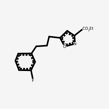 CCOC(=O)c1cc(CCCc2cccc(F)c2)on1